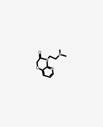 CN(C)CCN1C(=O)COc2cccnc21